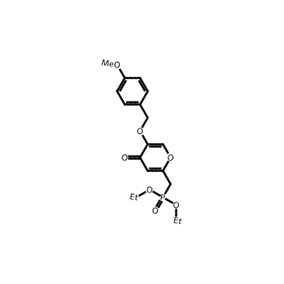 CCOP(=O)(Cc1cc(=O)c(OCc2ccc(OC)cc2)co1)OCC